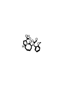 COc1ccccc1N(C(=O)C=O)[C@H]1CC=CC[C@@H]2CC[C@@H](C(=O)O)N2C1=O